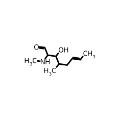 CC=CCC(C)C(O)C(C=O)NC